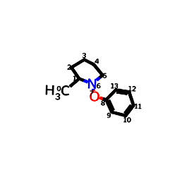 CC1CCCCN1Oc1ccccc1